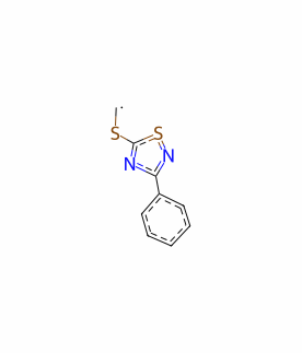 [CH2]Sc1nc(-c2ccccc2)ns1